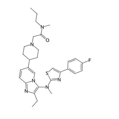 CCCN(C)C(=O)CN1CCC(c2ccc3nc(CC)c(N(C)c4nc(-c5ccc(F)cc5)cs4)n3c2)CC1